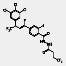 O=C(CCC(F)(F)F)NNC(=O)c1ccc(/C(F)=C/C(c2cc(Cl)c(Cl)c(Cl)c2)C(F)(F)F)cc1I